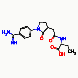 CCC(NC(=O)CC1CCN(c2ccc(C(=N)N)cc2)C1=O)C(=O)O